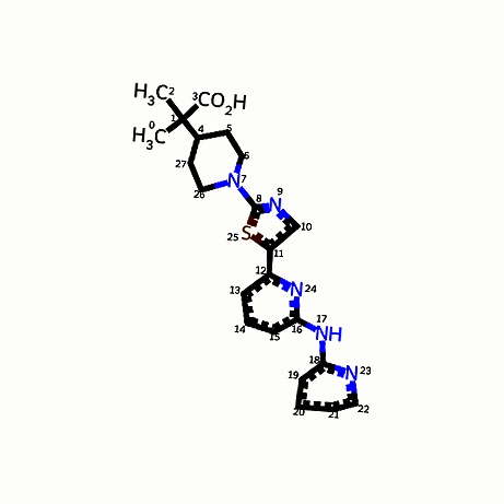 CC(C)(C(=O)O)C1CCN(c2ncc(-c3cccc(Nc4ccccn4)n3)s2)CC1